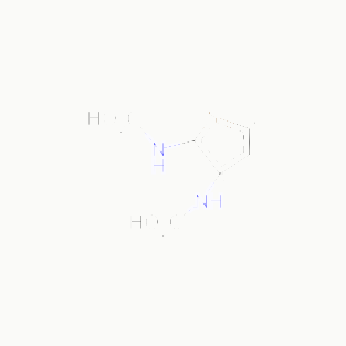 O=C(O)Nc1ccsc1NC(=O)O